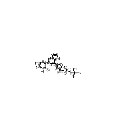 O=C(OCC(F)(F)F)O[C@H]1CN(c2cc(-c3c[nH]c(=O)[nH]c3=O)nn3ccnc23)CC1(F)F